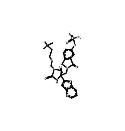 C[Si](C)(C)CCOCN1C(=O)NC(CN2Cc3ccc(OS(=O)(=O)C(F)(F)F)cc3C2=O)(c2cc3ncccc3o2)C1=O